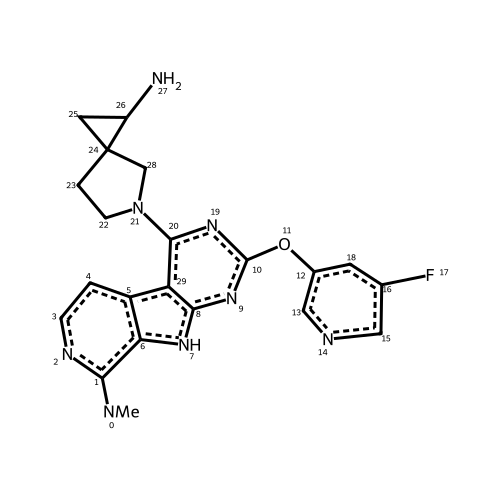 CNc1nccc2c1[nH]c1nc(Oc3cncc(F)c3)nc(N3CCC4(CC4N)C3)c12